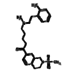 Cc1ccccc1CCN(C)CCCCC(=O)c1ccc2c(c1)CN(S(C)(=O)=O)CC2